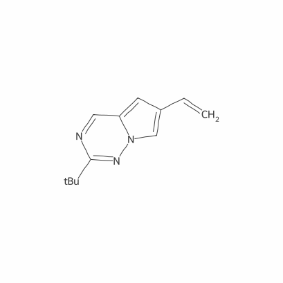 C=Cc1cc2cnc(C(C)(C)C)nn2c1